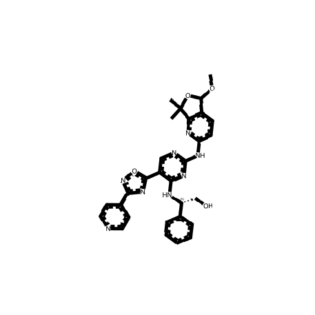 COC1OC(C)(C)c2nc(Nc3ncc(-c4nc(-c5ccncc5)no4)c(N[C@H](CO)c4ccccc4)n3)ccc21